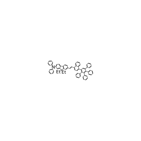 CCC1(CC)c2cc(/C=C/c3ccc(-c4cc(-c5ccccc5)c(-c5ccccc5)c(-c5ccccc5)c4-c4ccccc4)c4ccccc34)ccc2-c2ccc(N(c3ccccc3)c3ccccc3)cc21